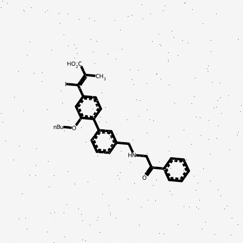 CCCCOc1cc(C(I)=C(C)C(=O)O)ccc1-c1cccc(CNCC(=O)c2ccccc2)c1